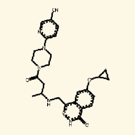 CC(CC(=O)N1CCN(c2ccc(C#N)cn2)CC1)NCc1n[nH]c(=O)c2ccc(OC3CC3)cc12